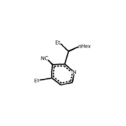 CCCCCCC(CC)c1nccc(CC)c1C#N